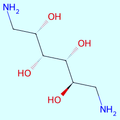 NC[C@@H](O)[C@@H](O)[C@H](O)[C@@H](O)CN